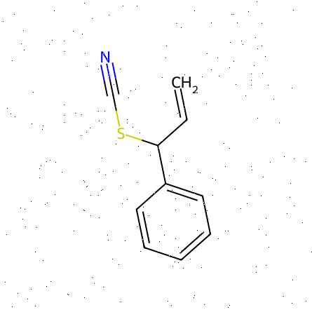 C=CC(SC#N)c1ccccc1